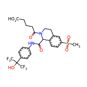 CS(=O)(=O)c1ccc2c(c1)CCN(C(=O)CCCC(=O)O)C2C(=O)Nc1ccc(C(O)(C(F)(F)F)C(F)(F)F)cc1